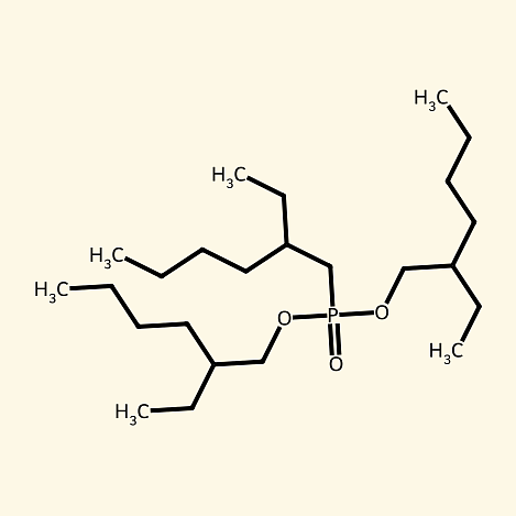 CCCCC(CC)COP(=O)(CC(CC)CCCC)OCC(CC)CCCC